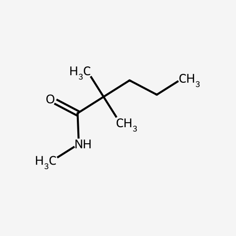 CCCC(C)(C)C(=O)NC